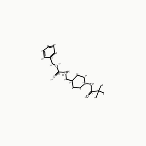 CC(C)(C)C(=O)ON1CCC(CNC(=O)OCc2ccccc2)CC1